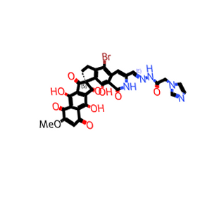 COC1=CC(=O)c2c(O)c3c(c(O)c2C1=O)C(=O)[C@]1(CCc2c1c(O)c1c(=O)[nH]c(/C=N/NC(=O)Cn4ccnc4)cc1c2Br)C3=O